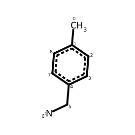 Cc1ccc(C[N])cc1